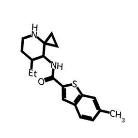 CCC1CCNC2(CC2)C1NC(=O)c1cc2ccc(C)cc2s1